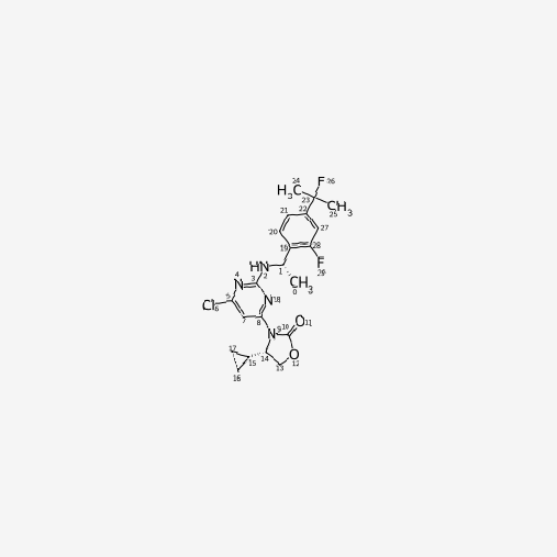 C[C@H](Nc1nc(Cl)cc(N2C(=O)OC[C@@H]2C2CC2)n1)c1ccc(C(C)(C)F)cc1F